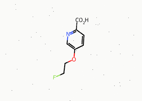 O=C(O)c1ccc(OCCF)cn1